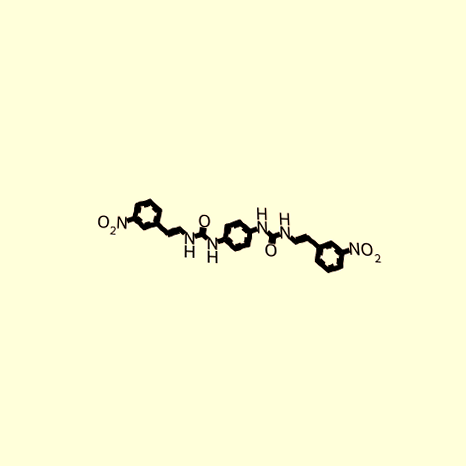 O=C(N/C=C/c1cccc([N+](=O)[O-])c1)Nc1ccc(NC(=O)N/C=C/c2cccc([N+](=O)[O-])c2)cc1